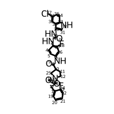 O=C(Nc1ccc(NC(=O)C2CCN(S(=O)(=O)Cc3ccccc3F)C2)cc1F)Nc1c[nH]c2ccc(Cl)cc12